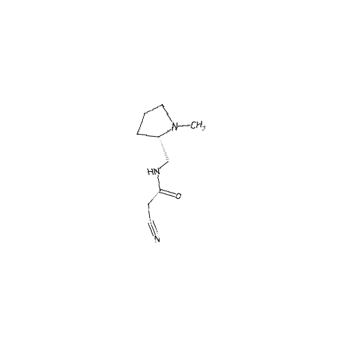 CN1CCC[C@H]1CNC(=O)CC#N